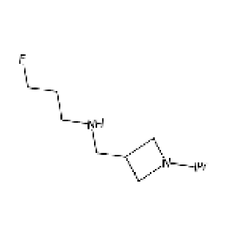 CC(C)N1CC(CNCCCF)C1